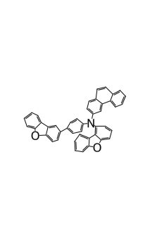 c1ccc2c(c1)ccc1ccc(N(c3ccc(-c4ccc5oc6ccccc6c5c4)cc3)c3cccc4oc5ccccc5c34)cc12